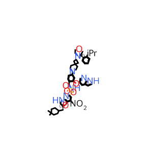 CC(C)c1ccccc1[C@@H]1COCCN1C1CC2(CCN(c3ccc(C(=O)NS(=O)(=O)c4cc([N+](=O)[O-])c5c(n4)NC[C@H](CC4CCC(C)(C)CC4)O5)c(Oc4cnc5[nH]ccc5c4)c3)CC2)C1